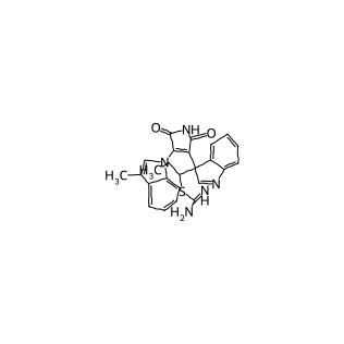 CCC(SC(=N)N)C1(C2=C(n3cc(C)c4ccccc43)C(=O)NC2=O)C=Nc2ccccc21